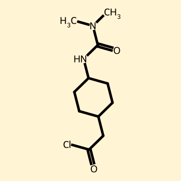 CN(C)C(=O)NC1CCC(CC(=O)Cl)CC1